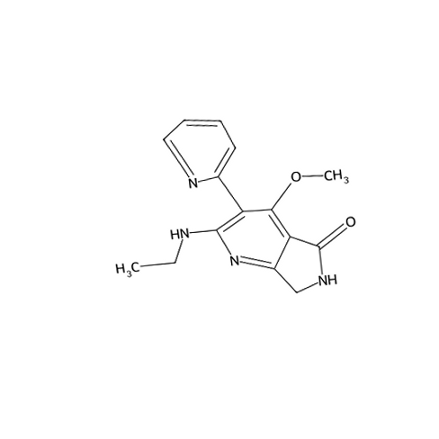 CCNc1nc2c(c(OC)c1-c1ccccn1)C(=O)NC2